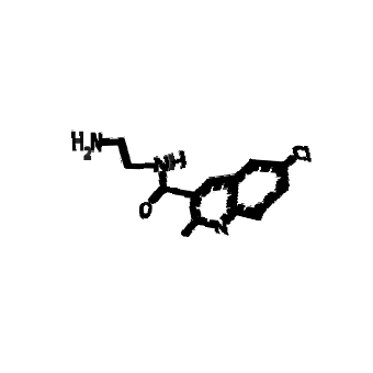 Cc1nc2ccc(Cl)cc2cc1C(=O)NCCN